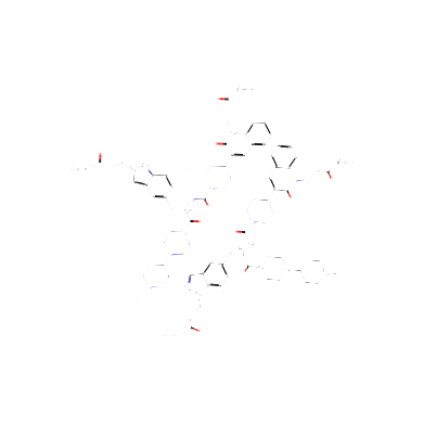 CCCCCCCCCC(=O)OCn1c(=O)c(C2CCN(C(=O)N[C@H](Cc3cc(C)c4c(cnn4COC(=O)CCCCCCCC)c3)C(=O)N3CCN(C4CCN(C)CC4)CC3)CC2)cc2ccccc21.CCCCCCCCCC(=O)OCn1cc2cc(C[C@@H](NC(=O)N3CCC(c4cc5ccccc5n(COC(=O)CCCCCCCCC)c4=O)CC3)C(=O)N3CCN(C4CCN(C)CC4)CC3)cc(C)c2n1